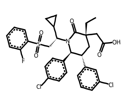 CC[C@@]1(CC(=O)O)C[C@H](c2cccc(Cl)c2)[C@@H](c2ccc(Cl)cc2)N([C@H](CS(=O)(=O)c2ccccc2F)C2CC2)C1=O